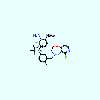 CNc1ccc([C@H](c2ccc(C)c(CN3CCOc4ccnc(F)c4C3)c2)C(C)(C)C(=O)O)c(C)c1N